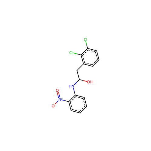 O=[N+]([O-])c1ccccc1NC(O)Cc1cccc(Cl)c1Cl